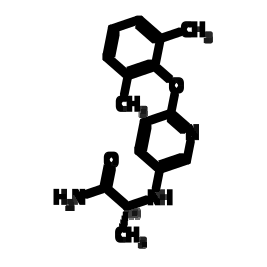 Cc1cccc(C)c1Oc1ccc(N[C@H](C)C(N)=O)cn1